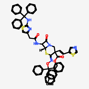 COc1ccc(COC(=O)C2(C=Cc3cncs3)CN3C(=O)C(NC(=O)Cc4csc(NC(c5ccccc5)(c5ccccc5)c5ccccc5)n4)[C@H]3SC2=NOC(c2ccccc2)(c2ccccc2)c2ccccc2)cc1